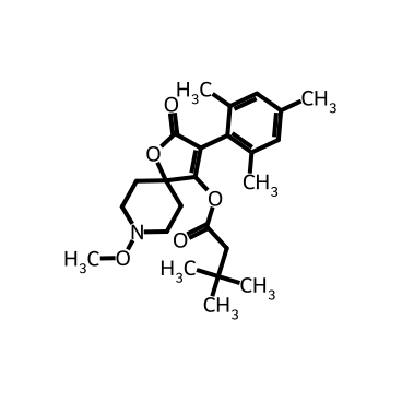 CON1CCC2(CC1)OC(=O)C(c1c(C)cc(C)cc1C)=C2OC(=O)CC(C)(C)C